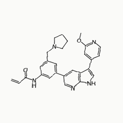 C=CC(=O)Nc1cc(CN2CCCC2)cc(-c2cnc3[nH]cc(-c4ccnc(OC)c4)c3c2)c1